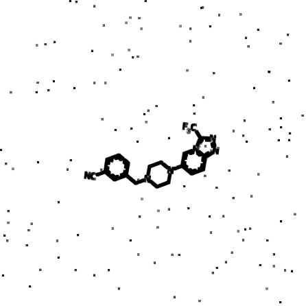 N#Cc1cccc(CN2CCN(c3ccc4nnc(C(F)(F)F)n4c3)CC2)c1